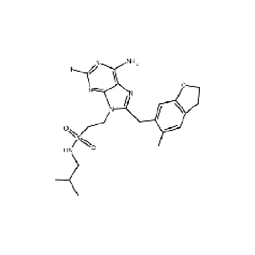 Cc1cc2c(cc1Cc1nc3c(N)nc(F)nc3n1CCS(=O)(=O)NCC(C)C)OCC2